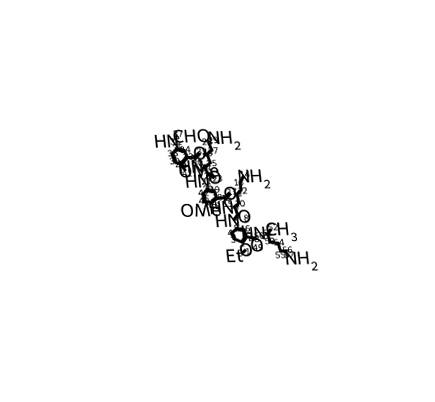 CCOc1ccc(NC(=O)C(CCCCN)NC(=O)c2cc(NC(=O)C(CCCCN)NC(=O)c3cc(NC=O)ccc3OC)ccc2OC)cc1C(=O)NC(C)CCCCN